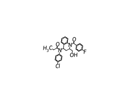 CCC(=O)N(c1ccc(Cl)cc1)C1CC(CO)N(C(=O)c2ccc(F)cc2)c2ccccc21